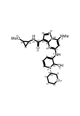 CNc1cc(NC2=CC=CN([C@H]3CCCOC3)C2O)nc2c(C(=O)NC3CC3OC)cnn12